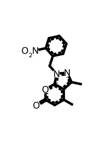 Cc1cc(=O)oc2c1c(C)nn2Cc1ccccc1[N+](=O)[O-]